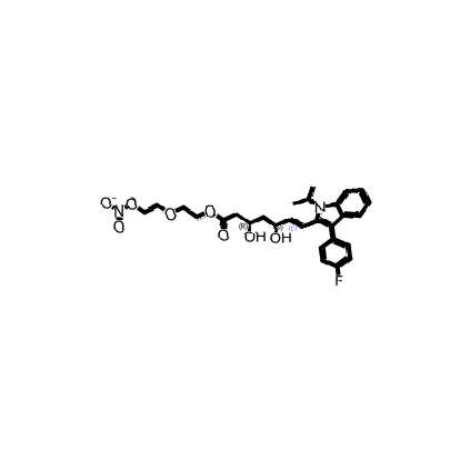 CC(C)n1c(/C=C/[C@@H](O)C[C@@H](O)CC(=O)OCCOCCO[N+](=O)[O-])c(-c2ccc(F)cc2)c2ccccc21